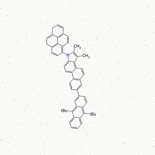 Cc1c(C)n(-c2ccc3c4c5c(ccc24)C=CCC5=CC3)c2ccc3c4ccc(-c5ccc6c(C(C)(C)C)c7ccccc7c(C(C)(C)C)c6c5)cc4ccc3c12